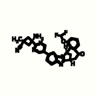 C[C@]1(C#N)C[C@](N)(c2ncc(-c3ccc4nc5n(c4c3)[C@@H]3C[C@H]5CC(=O)c4cccc(OC(F)F)c43)cn2)C1